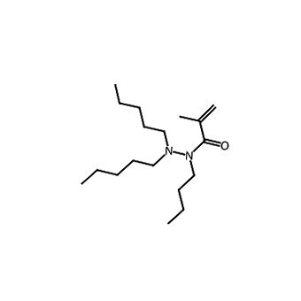 C=C(C)C(=O)N(CCCC)N(CCCCC)CCCCC